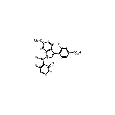 CNc1cnc2c(-c3ccc(C(=O)O)cc3F)nn(C(=O)c3c(C)cccc3Cl)c2c1